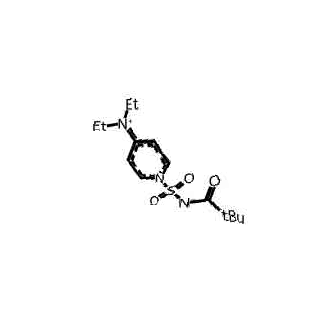 CC[N+](CC)=c1ccn(S(=O)(=O)[N-]C(=O)C(C)(C)C)cc1